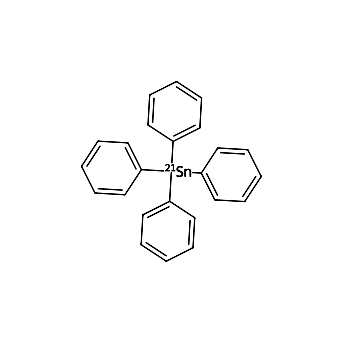 c1cc[c]([21Sn]([c]2ccccc2)([c]2ccccc2)[c]2ccccc2)cc1